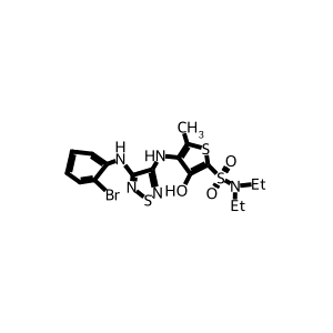 CCN(CC)S(=O)(=O)c1sc(C)c(Nc2nsnc2Nc2ccccc2Br)c1O